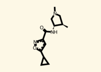 C[C@@H]1CN(C)C[C@H]1NC(=O)c1cc(C2CC2)on1